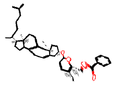 CC(C)CCCC(C)[C@H]1CCC2C3CC=C4C[C@@H](OC5C=C[C@H](C)[C@@H](COC(=O)c6ccccc6)O5)CC[C@]4(C)C3CC[C@@]21C